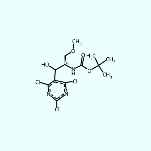 COC[C@@H](NC(=O)OC(C)(C)C)C(O)c1c(Cl)nc(Cl)nc1Cl